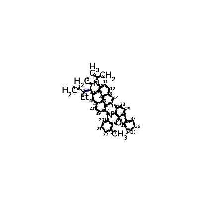 C=C/C(=C\C(=C)N(C(=C)C)c1ccc2ccc3c(N(c4cccc(C)c4)c4cccc5c4oc4ccccc45)ccc4ccc1c2c43)CC